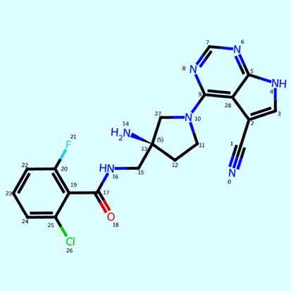 N#Cc1c[nH]c2ncnc(N3CC[C@](N)(CNC(=O)c4c(F)cccc4Cl)C3)c12